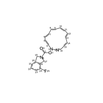 O=C(ON1\C=C/C=C/C=C/C=C\C=C\C=C\C=N/1)N1Cc2cccc(F)c2C1